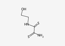 NC(=S)C(=S)NCCO